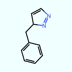 C1=CC(Cc2ccccc2)N=N1